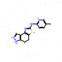 Cc1ccc(Nc2nc3c(s2)CCc2[nH]ncc2-3)nc1